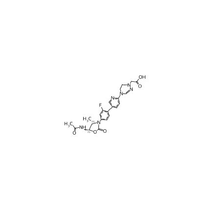 CC(=O)NC[C@@H]1OC(=O)N(c2ccc(-c3ccc(N4C=NN(CC(=O)O)CC4)nc3)c(F)c2)[C@H]1C